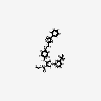 CCOC(=O)[C@H]1CN(c2nccc(C(F)(F)F)n2)C[C@H]1Cc1ccc(OCc2noc(-c3ccccc3)n2)cc1